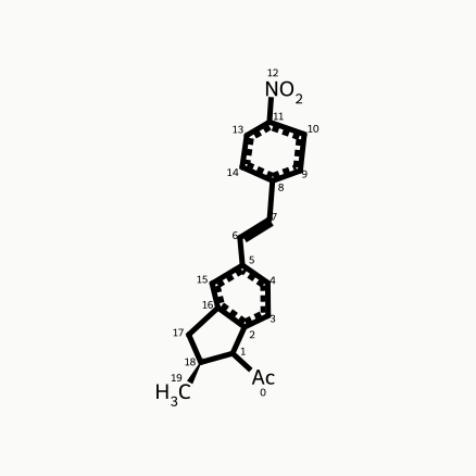 CC(=O)C1c2ccc(/C=C/c3ccc([N+](=O)[O-])cc3)cc2C[C@@H]1C